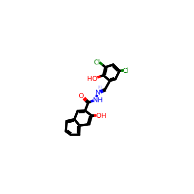 O=C(N/N=C/c1cc(Cl)cc(Cl)c1O)c1cc2ccccc2cc1O